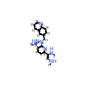 CN/C=C(\NC)c1ccc2c(n1)N(Cc1ccc3ncccc3c1)NN2C